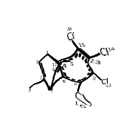 CC1=CC2C(C)=CC1c1c(Cl)c(Cl)c(Cl)c(Cl)c12